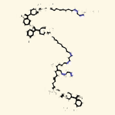 CCCCC/C=C\C/C=C\CCCCCCCC(=O)OCOC(=O)N1CCC(c2c[nH]c3ccc(-n4cc(C5CCN(C(=O)OCCCCCCCC/C=C\C/C=C\CCCC(C)C(C/C=C\C/C=C\CCCCC)CCCCCC(O)OC(S)OC(=O)N6CCC(c7c[nH]c8ccc(OC)cc78)CC6)CC5)c5cc(F)ccc54)cc23)CC1